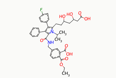 CCOC(=O)c1ccc(CNC(=O)c2c(-c3ccccc3)c(-c3ccc(F)cc3)c(CCC(O)CC(O)CC(=O)O)n2C(C)C)cc1C(=O)O